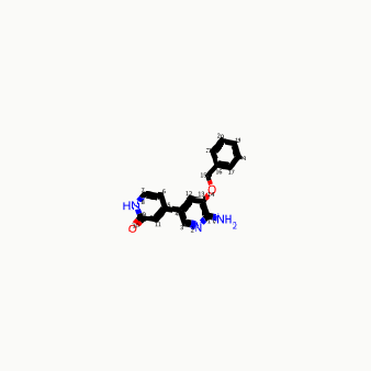 Nc1ncc(-c2cc[nH]c(=O)c2)cc1OCc1ccccc1